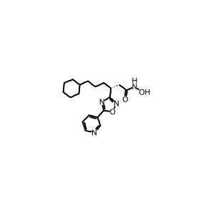 O=C(C[C@@H](CCCC1CCCCC1)c1noc(-c2cccnc2)n1)NO